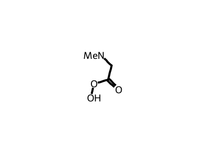 CNCC(=O)OO